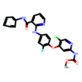 CC(C)(C)OC(=O)Nc1cc(Oc2ccc(Nc3ncccc3C(=O)Nc3ccccc3)cc2F)c(Cl)cn1